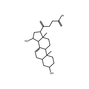 C=C(CCC(=C)C1CC(O)C2C3=CCC4CC(O)CCC4(C)C3CCC12C)C(C)C